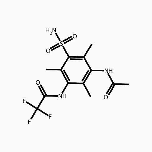 CC(=O)Nc1c(C)c(NC(=O)C(F)(F)F)c(C)c(S(N)(=O)=O)c1C